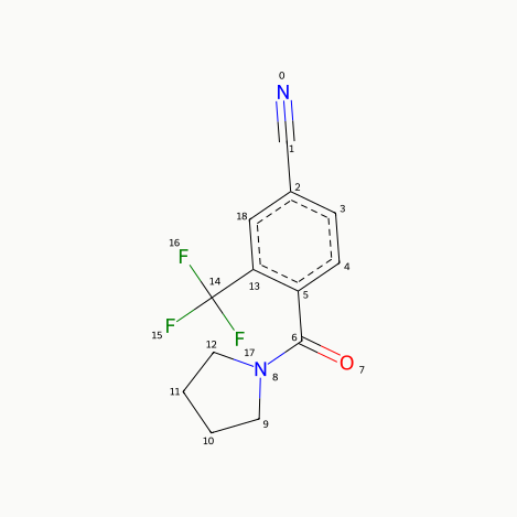 N#Cc1ccc(C(=O)N2CCCC2)c(C(F)(F)F)c1